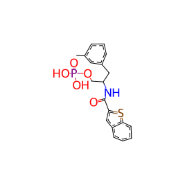 Cc1cccc(CC(COP(=O)(O)O)NC(=O)c2cc3ccccc3s2)c1